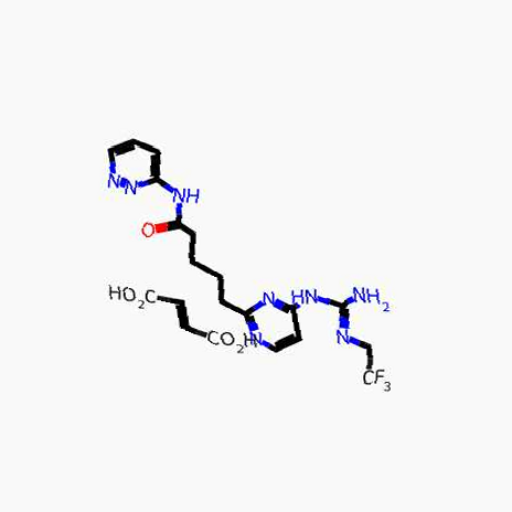 NC(=NCC(F)(F)F)Nc1ccnc(CCCCC(=O)Nc2cccnn2)n1.O=C(O)C=CC(=O)O